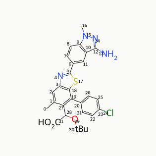 Cc1cc2nc(-c3ccc4c(c3)c(N)nn4C)sc2c(-c2ccc(Cl)cc2)c1C(OC(C)(C)C)C(=O)O